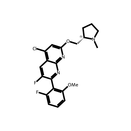 COc1cccc(F)c1-c1nc2nc(OC[C@@H]3CCCN3C)cc(Cl)c2cc1F